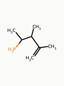 C=C(C)C(C)C(C)P